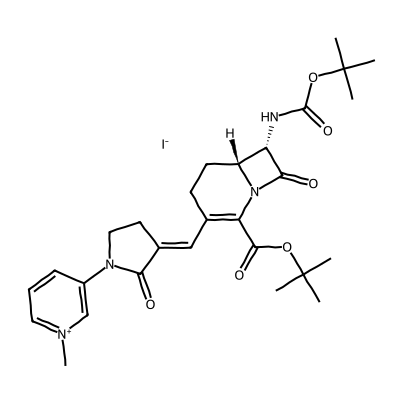 C[n+]1cccc(N2CCC(=CC3=C(C(=O)OC(C)(C)C)N4C(=O)[C@@H](NC(=O)OC(C)(C)C)[C@H]4CC3)C2=O)c1.[I-]